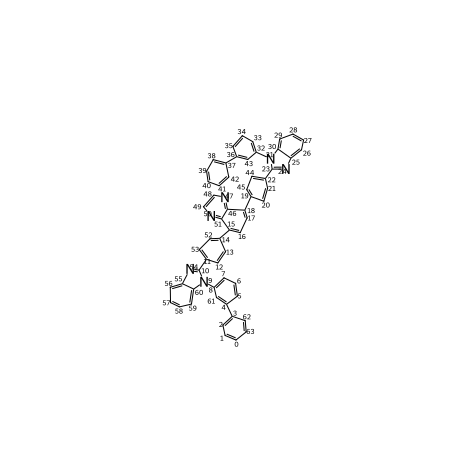 c1ccc(-c2cccc(-n3c(-c4ccc(-c5ccc(-c6ccc(-c7nc8ccccc8n7-c7cccc(-c8ccccc8)c7)cc6)c6nccnc56)cc4)nc4ccccc43)c2)cc1